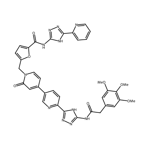 COc1cc(CC(=O)Nc2nnc(-c3ccc(-c4ccn(Cc5ccc(C(=O)Nc6nnc(-c7ccccn7)[nH]6)o5)c(=O)c4)cn3)[nH]2)cc(OC)c1OC